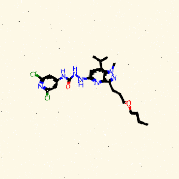 CCCCOCCCc1nn(C)c2c(C(C)C)cc(NNC(=O)Nc3cc(Cl)nc(Cl)c3)nc12